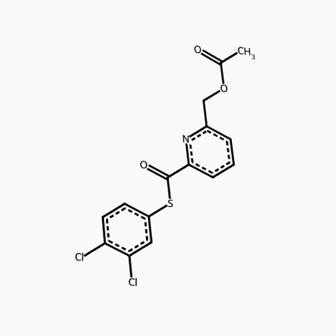 CC(=O)OCc1cccc(C(=O)Sc2ccc(Cl)c(Cl)c2)n1